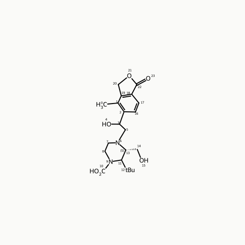 Cc1c(C(O)CN2CCN(C(=O)O)C(C(C)(C)C)[C@H]2CO)ccc2c1COC2=O